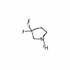 [2H]N1CCC(F)(F)C1